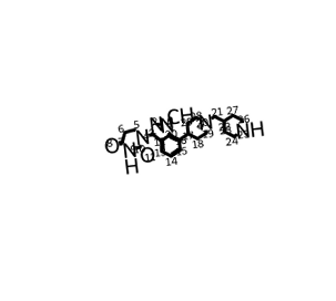 Cn1nc(N2CCC(=O)NC2=O)c2cccc(C3CCN(CC4CCNCC4)CC3)c21